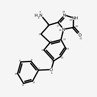 NC1Cc2cc(Oc3ccccc3)ccc2-n2c1n[nH]c2=O